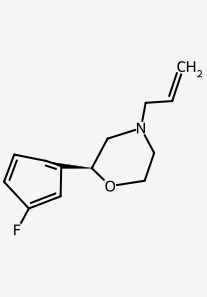 C=CCN1CCO[C@@H](c2cccc(F)c2)C1